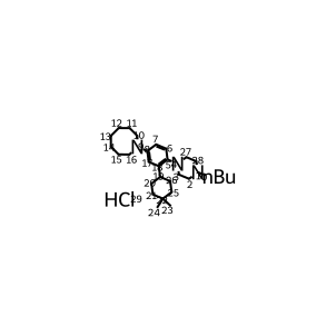 CCCCN1CCN(c2ccc(N3CCCCCCC3)cc2C2CCC(C)(C)CC2)CC1.Cl